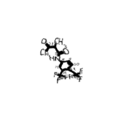 CC(C(=O)Cl)C(=O)Nc1ccc(C(F)(F)F)c(C(F)(F)F)c1